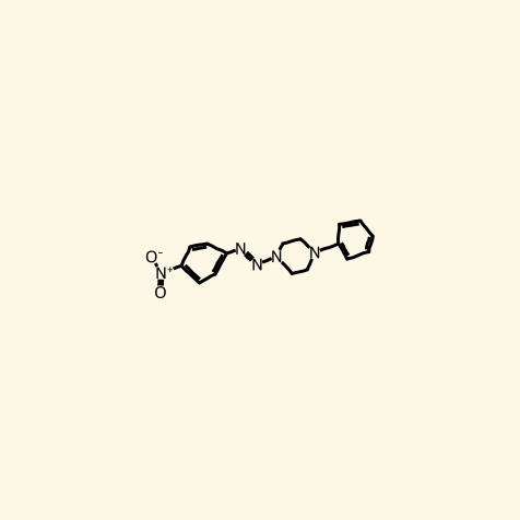 O=[N+]([O-])c1ccc(N=NN2CCN(c3ccccc3)CC2)cc1